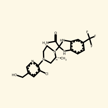 C[C@@H]1CN(c2ncc(CO)cc2Cl)CCN1C1(C(N)=O)Nc2[c]cc(C(F)(F)F)cc2N1